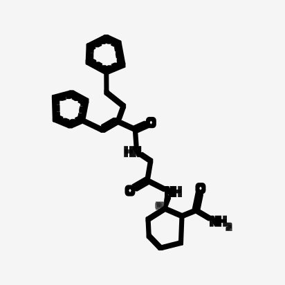 NC(=O)C1CCCC[C@H]1NC(=O)CNC(=O)C(=Cc1ccccc1)CCc1ccccc1